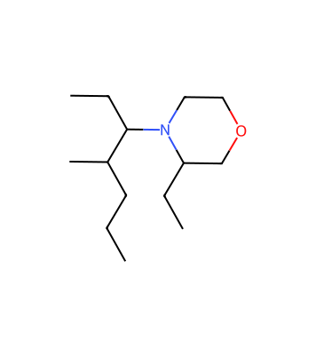 CCCC(C)C(CC)N1CCOCC1CC